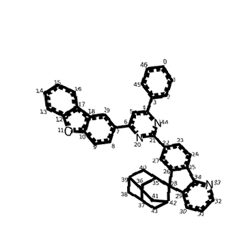 c1ccc(-c2cc(-c3ccc4oc5ccccc5c4c3)nc(-c3ccc4c(c3)C3(c5cccnc5-4)C4CC5CC(C4)CC3C5)n2)cc1